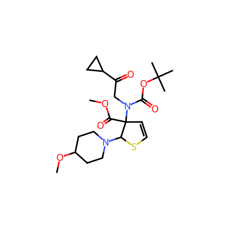 COC(=O)C1(N(CC(=O)C2CC2)C(=O)OC(C)(C)C)C=CSC1N1CCC(OC)CC1